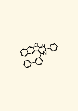 c1ccc(-c2cccc(-c3nc(-c4ccccc4)nc4oc5cc6ccccc6cc5c34)c2)cc1